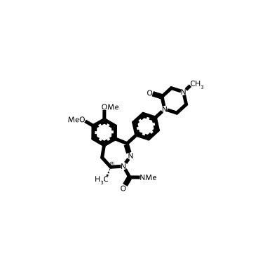 CNC(=O)N1N=C(c2ccc(N3CCN(C)CC3=O)cc2)c2cc(OC)c(OC)cc2C[C@H]1C